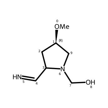 CO[C@@H]1CC(C=N)N(CO)C1